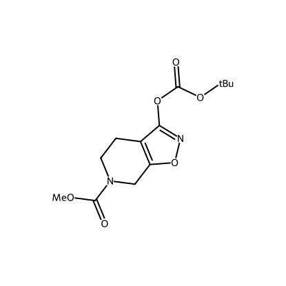 COC(=O)N1CCc2c(OC(=O)OC(C)(C)C)noc2C1